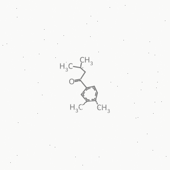 C[C](C)CC(=O)c1ccc(C)c(C)c1